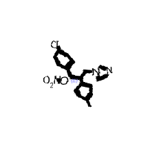 Cc1ccc(/C(Cn2ccnc2)=C(\O[N+](=O)[O-])c2ccc(Cl)cc2)cc1